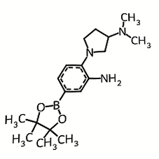 CN(C)C1CCN(c2ccc(B3OC(C)(C)C(C)(C)O3)cc2N)C1